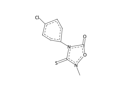 Cn1oc(=O)n(-c2ccc(Cl)cc2)c1=S